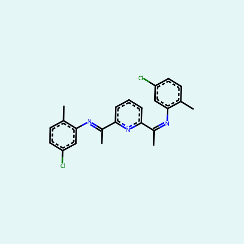 CC(=Nc1cc(Cl)ccc1C)c1cccc(C(C)=Nc2cc(Cl)ccc2C)n1